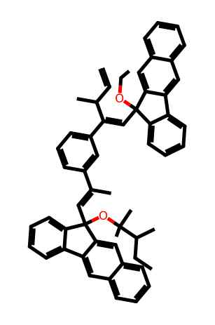 C=CC(C)/C(=C\C1(OCC)c2ccccc2-c2cc3ccccc3cc21)c1cccc(/C(C)=C/C2(OC(C)(C)C(C)CC)c3ccccc3-c3cc4ccccc4cc32)c1